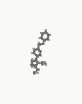 Cc1c(-c2ccc(OCc3ccccc3)cc2)noc1CBr